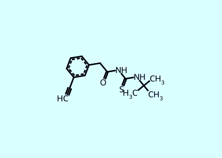 C#Cc1cccc(CC(=O)NC(=S)NC(C)(C)C)c1